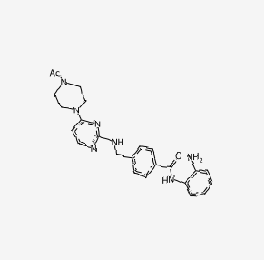 CC(=O)N1CCN(c2ccnc(NCc3ccc(C(=O)Nc4ccccc4N)cc3)n2)CC1